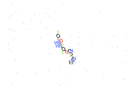 CCn1cnc(-c2cc3nccc(Oc4ccc(NC(=S)NC(=O)Cc5ccc(F)cc5)cc4F)c3s2)c1